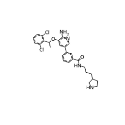 CC(Oc1cc(-c2cccc(C(=O)NCCCC3CCNC3)c2)cnc1N)c1c(Cl)cccc1Cl